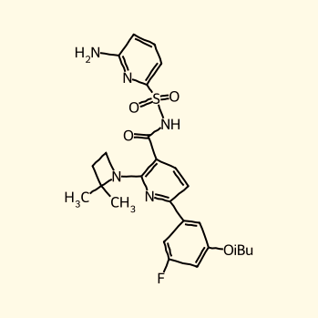 CC(C)COc1cc(F)cc(-c2ccc(C(=O)NS(=O)(=O)c3cccc(N)n3)c(N3CCC3(C)C)n2)c1